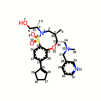 C[C@@H]1CN([C@@H](C)CO)S(=O)(=O)c2ccc(C3=CCCC3)cc2O[C@H]1CN(C)Cc1cccnc1